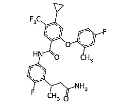 Cc1cc(F)ccc1Oc1cc(C2CC2)c(C(F)(F)F)cc1C(=O)Nc1ccc(F)c(C(C)CC(N)=O)c1